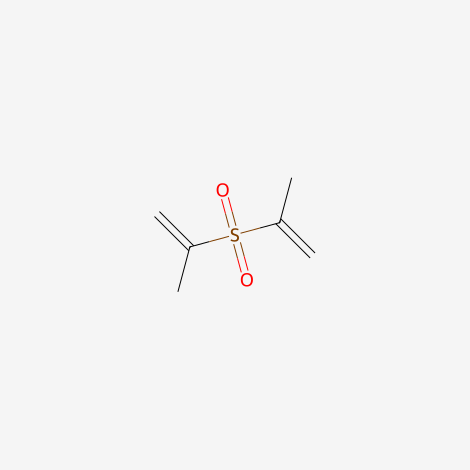 C=C(C)S(=O)(=O)C(=C)C